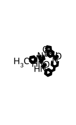 Cc1ccc(-n2nc(C(C)(C)C)cc2NC(=O)Nc2cccc(CC3CCN(C(=O)c4ccc5c(c4)CCO5)CC3)c2)cc1